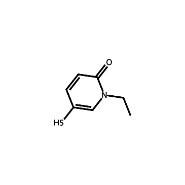 CCn1cc(S)ccc1=O